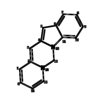 C1=CC2=Cc3cc4ccccc4n3CN2C=C1